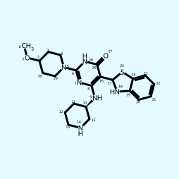 COC1CCN(c2nc(N[C@@H]3CCCNC3)c(C3Nc4ccccc4S3)c(=O)[nH]2)CC1